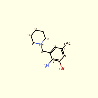 CC(=O)c1cc(Br)c(N)c(CN2CCCCC2)c1